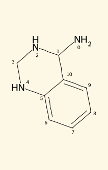 NC1NCNc2ccccc21